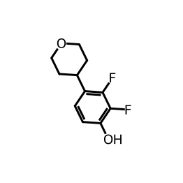 Oc1ccc(C2CCOCC2)c(F)c1F